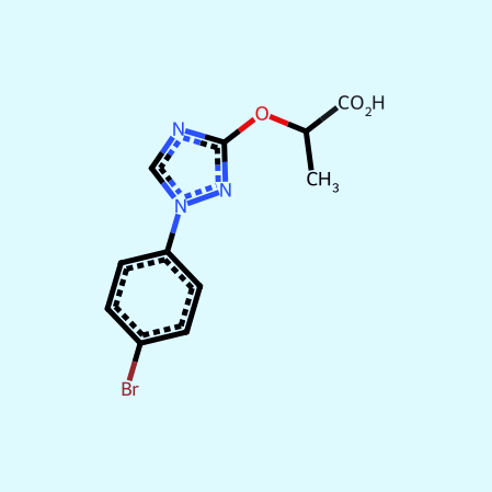 CC(Oc1ncn(-c2ccc(Br)cc2)n1)C(=O)O